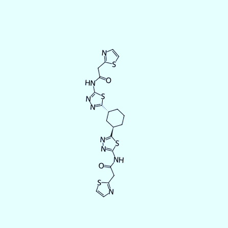 O=C(Cc1nccs1)Nc1nnc([C@@H]2CCC[C@@H](c3nnc(NC(=O)Cc4nccs4)s3)C2)s1